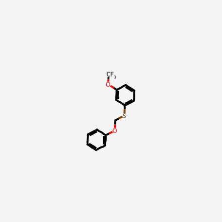 FC(F)(F)Oc1cccc(SCOc2[c]cccc2)c1